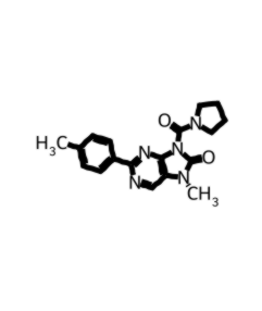 Cc1ccc(-c2ncc3c(n2)n(C(=O)N2CCCC2)c(=O)n3C)cc1